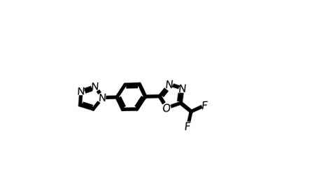 FC(F)c1nnc(-c2ccc(-n3ccnn3)cc2)o1